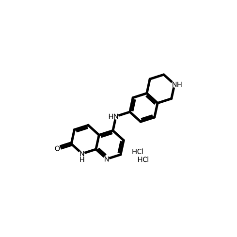 Cl.Cl.O=c1ccc2c(Nc3ccc4c(c3)CCNC4)ccnc2[nH]1